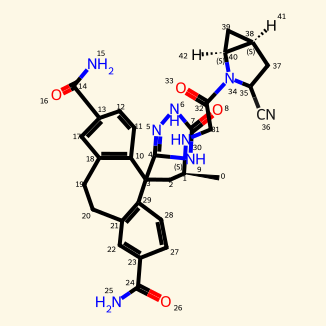 C[C@@H](CC1(c2n[nH]c(=O)[nH]2)c2ccc(C(N)=O)cc2CCc2cc(C(N)=O)ccc21)NCC(=O)N1C(C#N)C[C@@H]2C[C@@H]21